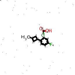 CC1CC(c2ccc(F)cc2)C1.O=C(O)Cl